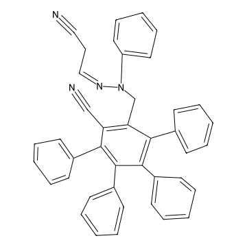 N#CC/C=N\N(Cc1c(C#N)c(-c2ccccc2)c(-c2ccccc2)c(-c2ccccc2)c1-c1ccccc1)c1ccccc1